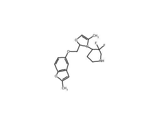 CC1=COC(COc2ccc3oc(C)cc3c2)N1C1CCNCC1(F)F